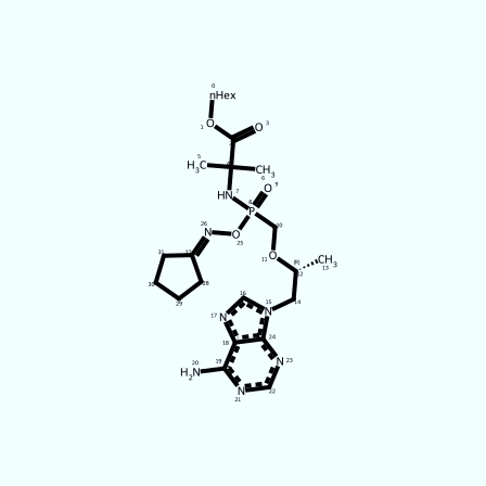 CCCCCCOC(=O)C(C)(C)NP(=O)(CO[C@H](C)Cn1cnc2c(N)ncnc21)ON=C1CCCC1